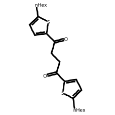 CCCCCCc1ccc(C(=O)CCC(=O)c2ccc(CCCCCC)s2)s1